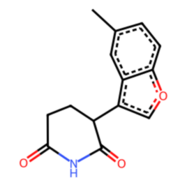 Cc1ccc2occ(C3CCC(=O)NC3=O)c2c1